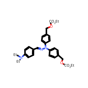 CCOC(=O)OCc1ccc(N(N=Cc2ccc(N(CC)CC)cc2)c2ccc(COC(=O)OCC)cc2)cc1